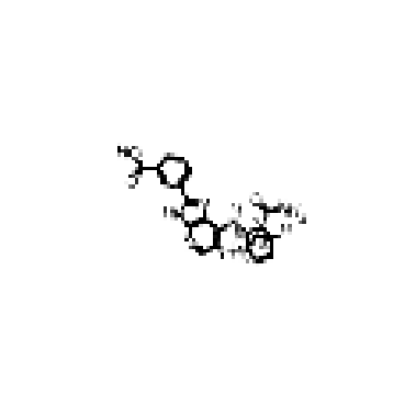 NC(=O)[C@@H]1[C@H](Nc2c(Cl)cnc3[nH]c(-c4cccc(C(=O)O)c4)nc23)[C@H]2C=C[C@@H]1C2